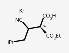 CCOC(=O)[C@H](C(=O)O)C(C#N)CC(C)C.[K]